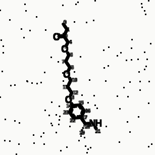 CCC(=O)COCCCOCCCOc1ccc([C@@H](C)NC)cc1